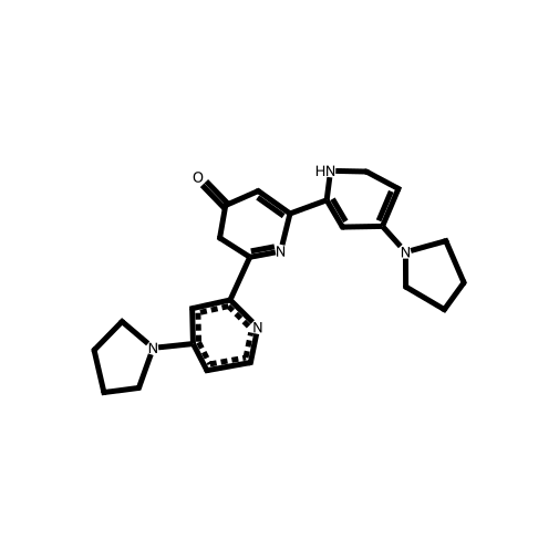 O=C1C=C(C2=CC(N3CCCC3)=CCN2)N=C(c2cc(N3CCCC3)ccn2)C1